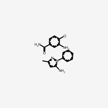 Cc1cc(N)n(-c2ccccc2)n1.NC(=O)c1ccc(Cl)c(N)c1